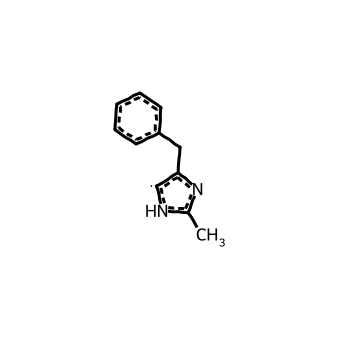 Cc1nc(Cc2ccccc2)[c][nH]1